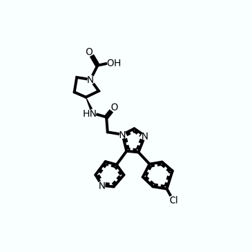 O=C(Cn1cnc(-c2ccc(Cl)cc2)c1-c1ccncc1)N[C@H]1CCN(C(=O)O)C1